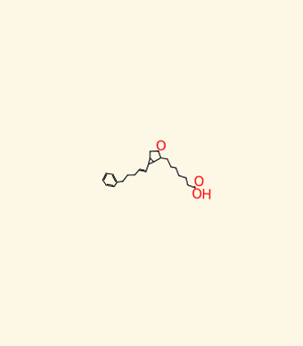 O=C(O)CCCCCCC1C(=O)CC2C(C=CCCCc3ccccc3)C12